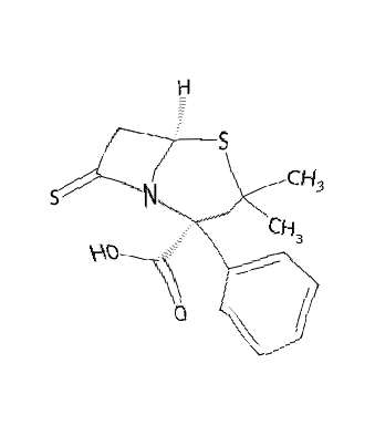 CC1(C)S[C@@H]2CC(=S)N2[C@]1(C(=O)O)c1ccccc1